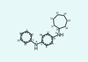 c1ccc(Nc2ccc(NC3CCCCCC3)cc2)cc1